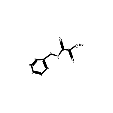 CCCCCCC(=O)C(=O)OCc1ccccc1